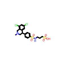 CN1Cc2c(Cl)cc(Cl)cc2C(c2ccc(S(=O)(=O)NCCCS(=O)(=O)O)cc2)C1